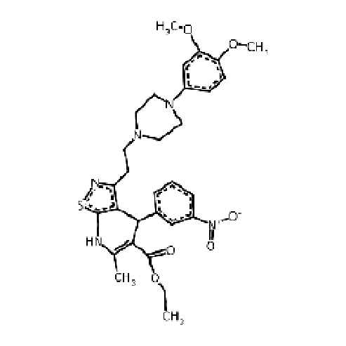 CCOC(=O)C1=C(C)Nc2snc(CCN3CCN(c4ccc(OC)c(OC)c4)CC3)c2C1c1cccc([N+](=O)[O-])c1